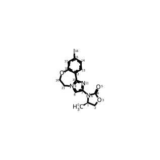 C[C@@H]1COC(=O)N1c1cn2c(n1)-c1ccc(I)cc1OCC2